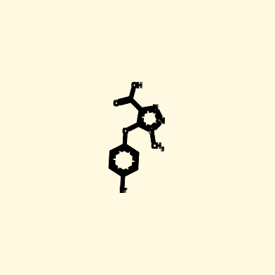 Cn1nnc(C(=O)O)c1Oc1ccc(Br)cc1